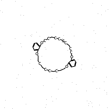 c1ccc2c(c1)OCCCCCCCCCCOc1ccccc1OCCCCCCCCCCO2